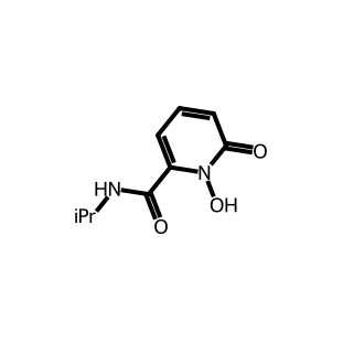 CC(C)NC(=O)c1cccc(=O)n1O